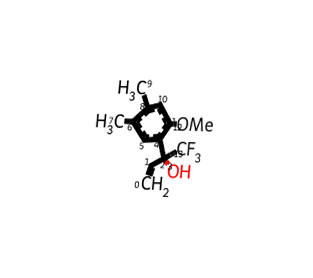 C=CC(O)(c1cc(C)c(C)cc1OC)C(F)(F)F